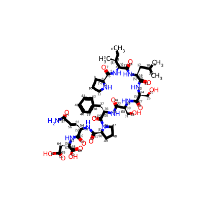 CC[C@H](C)[C@H](NC(=O)[C@@H]1CCCN1)C(=O)N[C@@H](CC(C)C)C(=O)N[C@@H](CO)C(=O)N[C@@H](CO)C(=O)N[C@@H](Cc1ccccc1)C(=O)N1CCC[C@H]1C(=O)N[C@@H](CCC(N)=O)C(=O)N[C@@H](CC(=O)O)C(=O)O